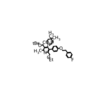 CCOCc1nc(C)c(C(OC(C)(C)C)C(=O)O)c(N2CCC(C)(C)CC2)c1-c1ccc(OCCc2ccc(F)cc2)cc1